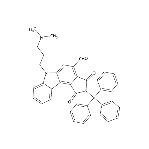 CN(C)CCCn1c2ccccc2c2c3c(c(C=O)cc21)C(=O)N(C(c1ccccc1)(c1ccccc1)c1ccccc1)C3=O